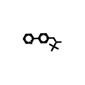 CN(Cc1ccc(-c2ccccn2)cc1)C(C)(C)C